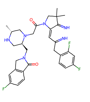 C[C@@H]1CN(CC(=O)N2CC(C)(C)C(=N)/C2=C\C(=N)Cc2ccc(F)cc2F)[C@@H](CN2Cc3cc(F)ccc3C2=O)CN1